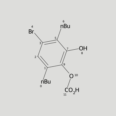 CCCCc1cc(Br)c(CCCC)c(O)c1OC(=O)O